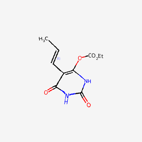 C/C=C/c1c(OC(=O)OCC)[nH]c(=O)[nH]c1=O